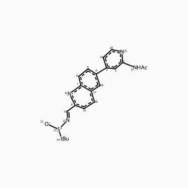 CC(=O)Nc1cc(-c2ccc3nc(/C=N/[S+]([O-])C(C)(C)C)ccc3c2)ccn1